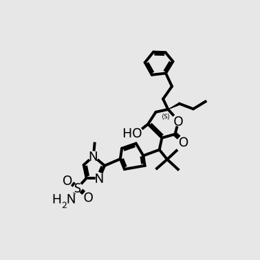 CCC[C@]1(CCc2ccccc2)CC(O)=C(C(c2ccc(-c3nc(S(N)(=O)=O)cn3C)cc2)C(C)(C)C)C(=O)O1